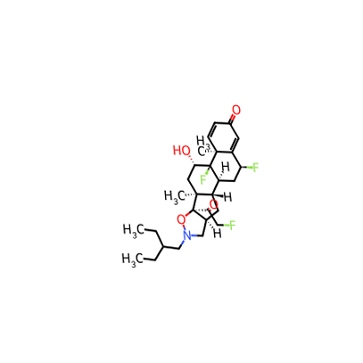 CCC(CC)CN1C[C@@H]2C[C@H]3[C@@H]4C[C@H](F)C5=CC(=O)C=C[C@]5(C)[C@@]4(F)[C@@H](O)C[C@]3(C)[C@]2(C(=O)CF)O1